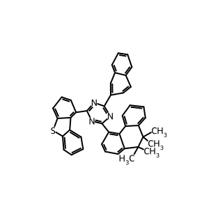 CC1(C)c2ccccc2-c2c(-c3nc(-c4ccc5ccccc5c4)nc(-c4cccc5sc6ccccc6c45)n3)cccc2C1(C)C